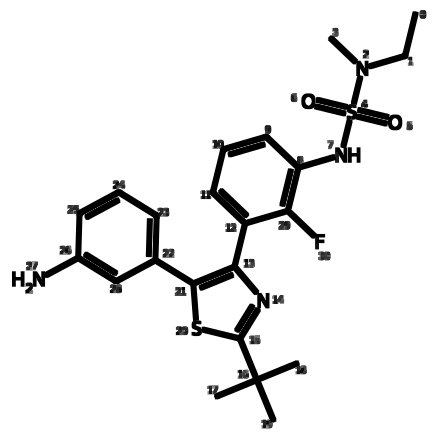 CCN(C)S(=O)(=O)Nc1cccc(-c2nc(C(C)(C)C)sc2-c2cccc(N)c2)c1F